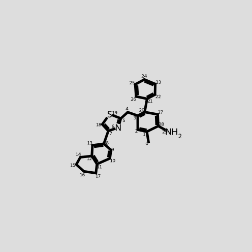 Cc1cc(Cc2nc(-c3ccc4c(c3)CCCC4)cs2)c(-c2ccccc2)cc1N